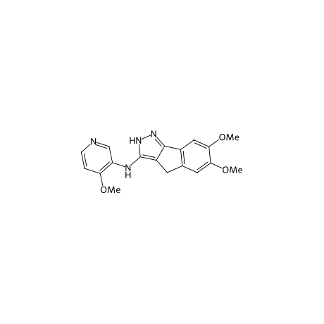 COc1ccncc1Nc1[nH]nc2c1Cc1cc(OC)c(OC)cc1-2